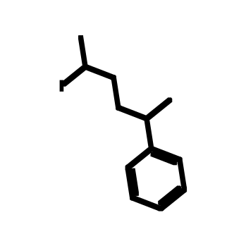 CC(I)CCC(C)c1ccccc1